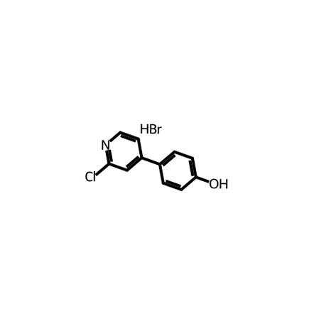 Br.Oc1ccc(-c2ccnc(Cl)c2)cc1